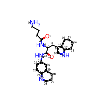 NCCCC(=O)NC(Cc1c[nH]c2ccccc12)C(=O)Nc1ccc2ncccc2c1